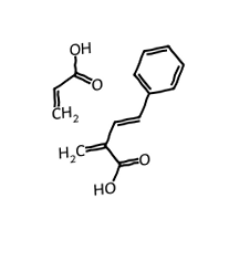 C=C(C=Cc1ccccc1)C(=O)O.C=CC(=O)O